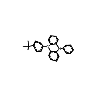 CN(c1ccc(C(C)(C)C)cc1)c1ccccc1N(c1ccccc1)c1ccccc1